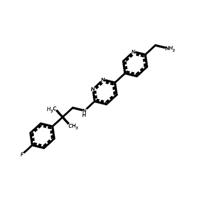 CC(C)(CNc1ccc(-c2ccc(CN)nc2)nn1)c1ccc(F)cc1